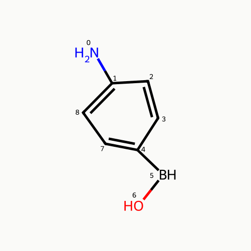 Nc1ccc(BO)cc1